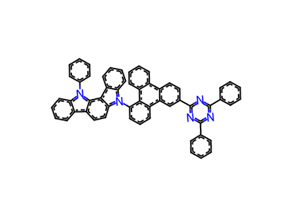 c1ccc(-c2nc(-c3ccccc3)nc(-c3ccc4c5ccccc5c5c(-n6c7ccccc7c7c6ccc6c8ccccc8n(-c8ccccc8)c67)cccc5c4c3)n2)cc1